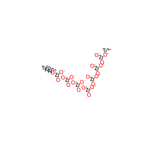 [Al+3].[Al+3].[O]=[Zr]([O-])[O-].[O]=[Zr]([O-])[O-].[O]=[Zr]([O-])[O-].[O]=[Zr]([O-])[O-].[O]=[Zr]([O-])[O-].[O]=[Zr]([O-])[O-].[O]=[Zr]([O-])[O-].[Ti+4].[Ti+4]